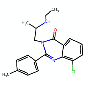 CCNC(C)Cn1c(-c2ccc(C)cc2)nc2c(Cl)cccc2c1=O